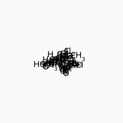 CCOCN(C(=O)CCl)c1c(C)cccc1CC.COC(=O)c1cc(Oc2ccc(Cl)cc2Cl)ccc1[N+](=O)[O-].C[S+](C)C.O=C(O)CNCP(=O)([O-])O